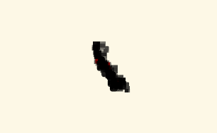 C[C@@](N)(CO)C(=O)Nc1ccc(C(=O)Nc2ccn(-c3ccc(CNCCCN)cc3)c(=O)n2)cc1